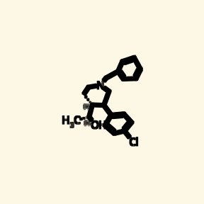 C[C@@H](O)[C@@H]1CCN(Cc2ccccc2)CC1c1ccc(Cl)cc1